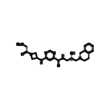 COCC(=O)N1CC(Nc2cc(C(=O)NC[C@H](O)CN3CCc4ccccc4C3)ncn2)C1